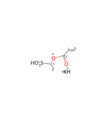 C=CC(=O)OC(C)S(=O)(=O)O.[KH]